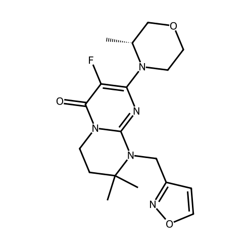 C[C@@H]1COCCN1c1nc2n(c(=O)c1F)CCC(C)(C)N2Cc1ccon1